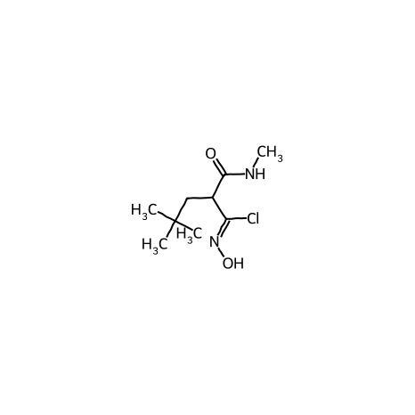 CNC(=O)C(CC(C)(C)C)C(Cl)=NO